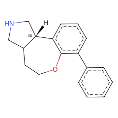 c1ccc(-c2cccc3c2OCCC2CNC[C@H]32)cc1